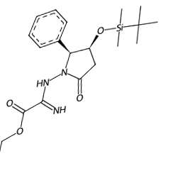 CCOC(=O)C(=N)NN1C(=O)C[C@H](O[Si](C)(C)C(C)(C)C)[C@@H]1c1ccccc1